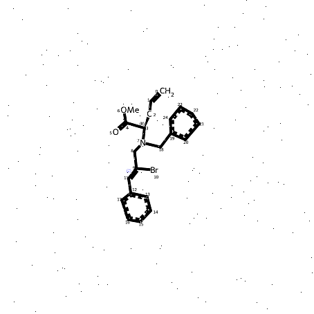 C=CC[C@H](C(=O)OC)N(C/C(Br)=C/c1ccccc1)Cc1ccccc1